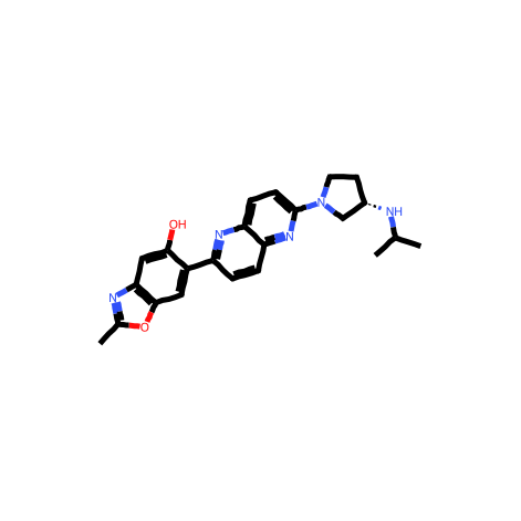 Cc1nc2cc(O)c(-c3ccc4nc(N5CC[C@H](NC(C)C)C5)ccc4n3)cc2o1